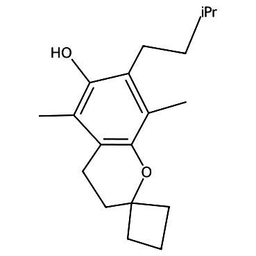 Cc1c(O)c(CCC(C)C)c(C)c2c1CCC1(CCC1)O2